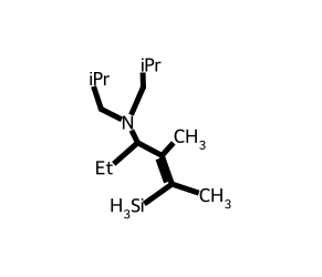 CCC(C(C)=C(C)[SiH3])N(CC(C)C)CC(C)C